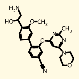 COc1cc(-c2ccc(C#N)cc2Oc2cc(N3CCOCC3)nc(C)n2)ccc1C(O)CN